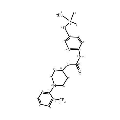 CC(C)(C)[Si](C)(C)Oc1ccc(NC(=O)OC2CCN(c3ccccc3C(F)(F)F)CC2)nc1